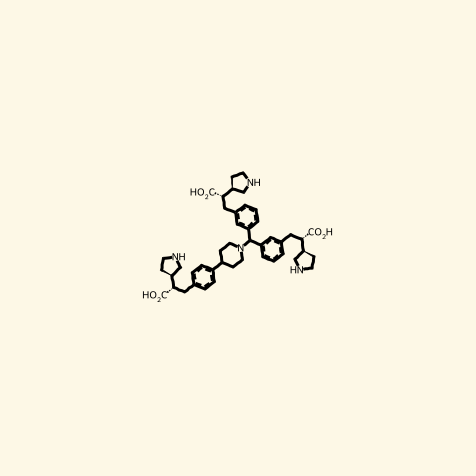 O=C(O)[C@@H](Cc1ccc(C2CCN(C(c3cccc(C[C@H](C(=O)O)[C@H]4CCNC4)c3)c3cccc(C[C@H](C(=O)O)[C@H]4CCNC4)c3)CC2)cc1)[C@H]1CCNC1